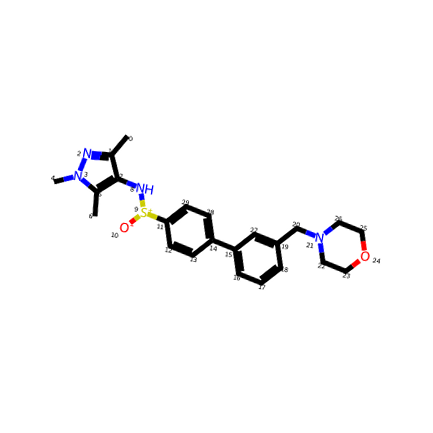 Cc1nn(C)c(C)c1N[S+]([O-])c1ccc(-c2cccc(CN3CCOCC3)c2)cc1